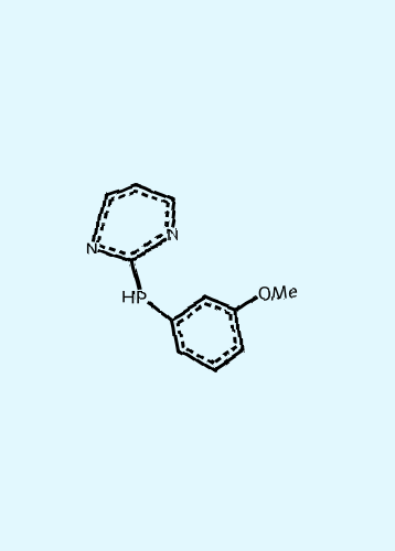 COc1cccc(Pc2ncccn2)c1